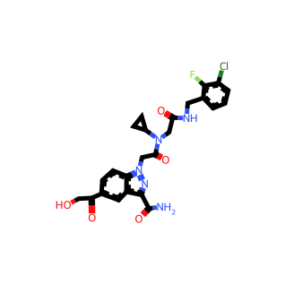 NC(=O)c1nn(CC(=O)N(CC(=O)NCc2cccc(Cl)c2F)C2CC2)c2ccc(C(=O)CO)cc12